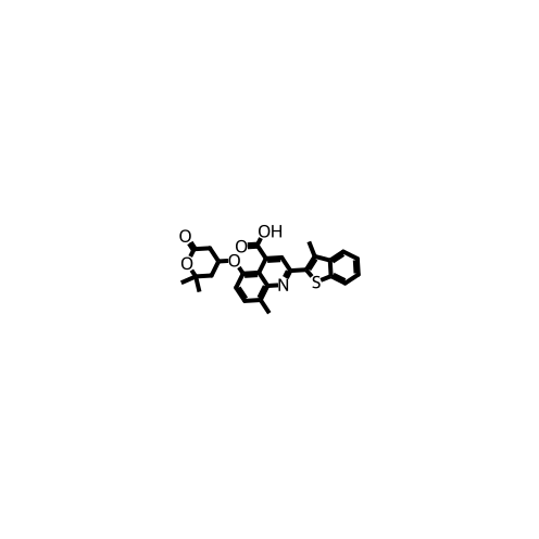 Cc1c(-c2cc(C(=O)O)c3c(OC4CC(=O)OC(C)(C)C4)ccc(C)c3n2)sc2ccccc12